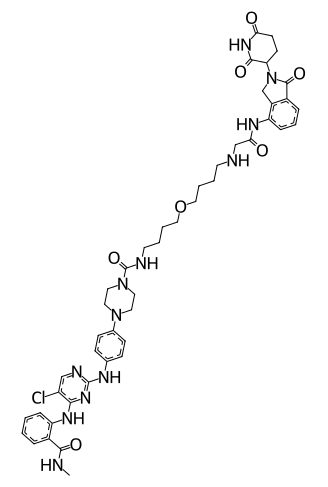 CNC(=O)c1ccccc1Nc1nc(Nc2ccc(N3CCN(C(=O)NCCCCOCCCCNCC(=O)Nc4cccc5c4CN(C4CCC(=O)NC4=O)C5=O)CC3)cc2)ncc1Cl